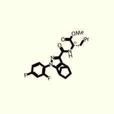 COC(=O)[C@H](CC(C)C)NC(=O)c1nn(-c2ccc(F)cc2F)c2c1C1CCC2C1